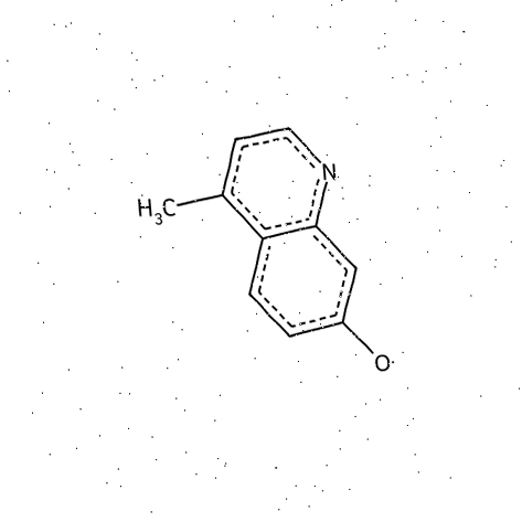 Cc1ccnc2cc([O])ccc12